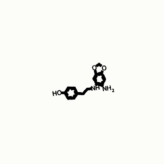 Nc1cc2c(cc1NCCc1ccc(O)cc1)OCO2